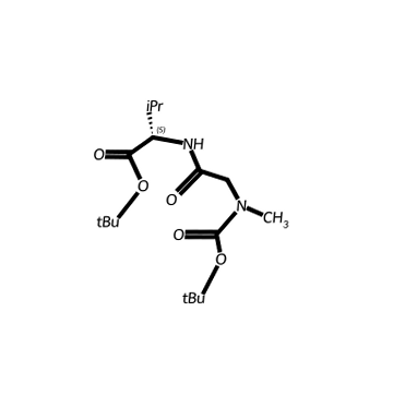 CC(C)[C@H](NC(=O)CN(C)C(=O)OC(C)(C)C)C(=O)OC(C)(C)C